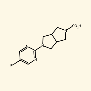 O=C(O)N1CC2CN(c3ncc(Br)cn3)CC2C1